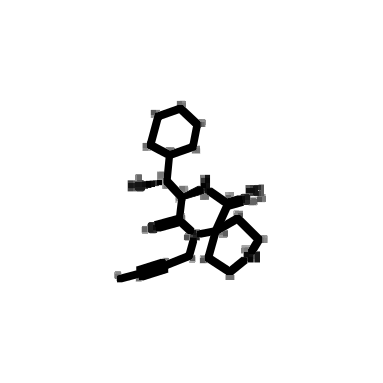 CC#CCN1C(=O)[C@@H]([C@H](O)C2CCCCC2)NC(=O)C12CCNCC2.Cl